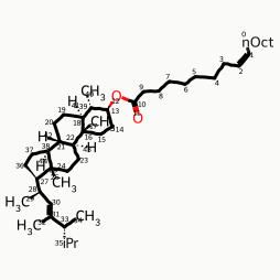 CCCCCCCC/C=C\CCCCCCCC(=O)O[C@H]1CC[C@@]2(C)[C@@H](CC[C@@H]3[C@@H]2CC[C@]2(C)[C@@H]([C@H](C)/C=C(\C)[C@H](C)C(C)C)CC[C@@H]32)[C@@H]1C